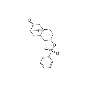 O=C1CN2C3CC(OS(=O)(=O)c4ccccc4)CC2CC1C3